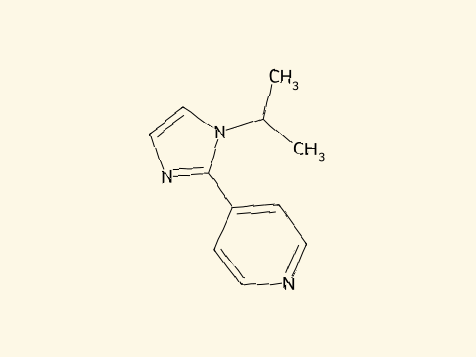 CC(C)n1ccnc1-c1ccncc1